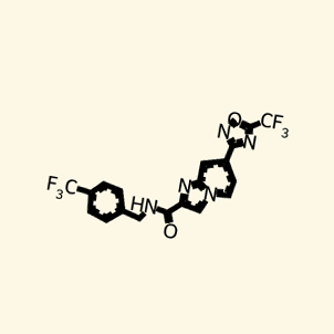 O=C(NCc1ccc(C(F)(F)F)cc1)c1cn2ccc(-c3noc(C(F)(F)F)n3)cc2n1